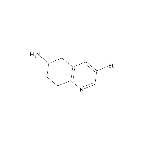 CCc1cnc2c(c1)CC(N)CC2